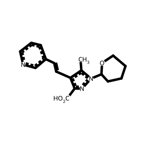 Cc1c(C=Cc2cccnc2)c(C(=O)O)nn1C1CCCCO1